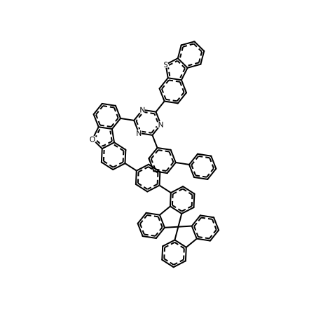 c1ccc(-c2cccc(-c3nc(-c4ccc5c(c4)sc4ccccc45)nc(-c4cccc5oc6ccc(-c7ccc(-c8cccc9c8-c8ccccc8C98c9ccccc9-c9ccccc98)cc7)cc6c45)n3)c2)cc1